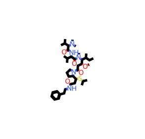 CCC(C)C(C(CC(=O)N1CCCC1C(CC(=O)NCCc1ccccc1)SC(C)C)OC)N(C)C(=O)C(NC(=O)C(C(C)C)N(C)C)C(C)C